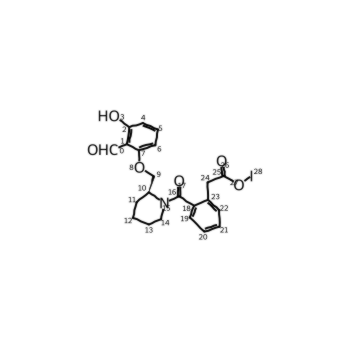 O=Cc1c(O)cccc1OC[C@@H]1CCCCN1C(=O)c1ccccc1CC(=O)OI